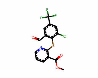 COC(=O)c1cccnc1Sc1c(Cl)cc(C(F)(F)F)cc1C=O